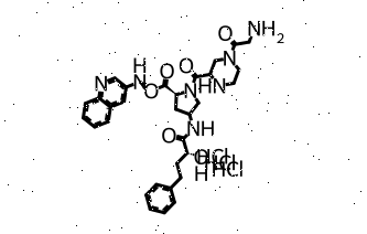 Cl.Cl.Cl.NCC(=O)N1CCNC(C(=O)N2CC(NC(=O)[C@H](O)CCc3ccccc3)C[C@H]2C(=O)ONc2cnc3ccccc3c2)C1